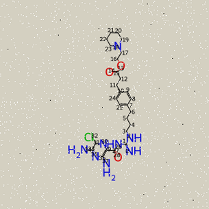 N=C(NCCCCc1ccc(CCC(=O)OCCN2CCCCC2)cc1)NC(=O)c1nc(Cl)c(N)nc1N